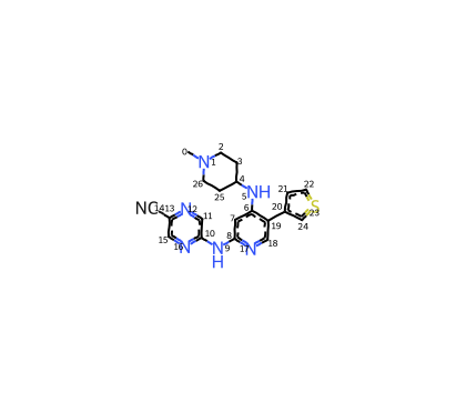 CN1CCC(Nc2cc(Nc3cnc(C#N)cn3)ncc2-c2ccsc2)CC1